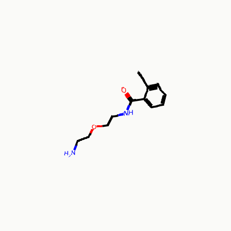 Cc1ccccc1C(=O)NCCOCCN